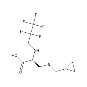 O=C(O)[C@H](CSCC1CC1)NCC(F)(F)C(F)(F)F